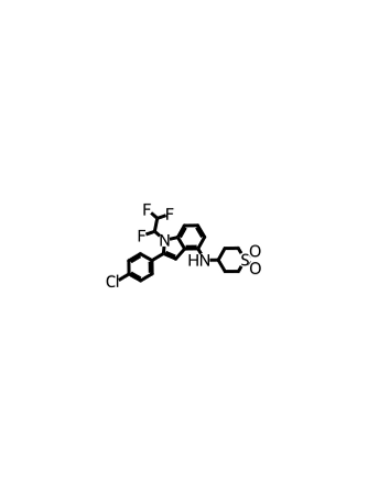 O=S1(=O)CCC(Nc2cccc3c2cc(-c2ccc(Cl)cc2)n3C(F)C(F)F)CC1